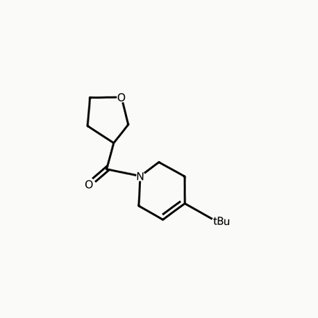 CC(C)(C)C1=CCN(C(=O)C2CCOC2)CC1